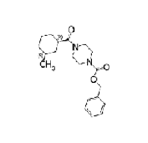 C[C@H]1CCC[C@@H](C(=O)N2CCN(C(=O)OCc3ccccc3)CC2)C1